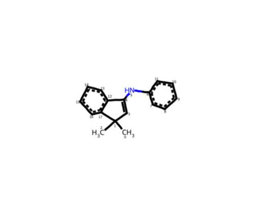 CC1(C)C=C(Nc2ccccc2)c2ccccc21